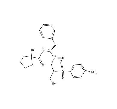 CCC1(C(=O)N[C@@H](Cc2ccccc2)[C@H](O)CN(CC(C)C)S(=O)(=O)c2ccc(N)cc2)CCCC1